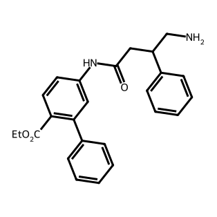 CCOC(=O)c1ccc(NC(=O)CC(CN)c2ccccc2)cc1-c1ccccc1